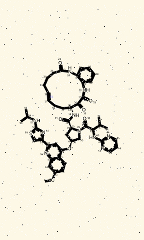 COc1ccc2c(O[C@H]3C[C@@H](C(=O)N[C@@H]4CC/C=C/CCCC(=O)Nc5ccccc5NC(=O)C4=O)N(C(=O)C(Nc4ncccn4)C(C)C)C3)cc(-c3csc(NC(C)C)n3)nc2c1